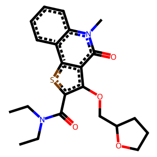 CCN(CC)C(=O)c1sc2c(c1OCC1CCCO1)c(=O)n(C)c1ccccc21